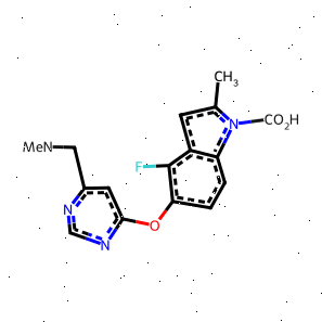 CNCc1cc(Oc2ccc3c(cc(C)n3C(=O)O)c2F)ncn1